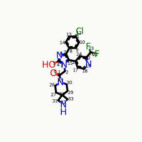 O=C(Cn1c(O)nc(-c2ccc(Cl)cc2)c1-c1ccnc(C(F)F)c1)N1CCC2(CC1)CNC2